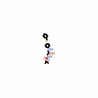 CC(C)(C)OC(=O)NCC(O)CNc1ccc(SCc2ccccc2)cc1